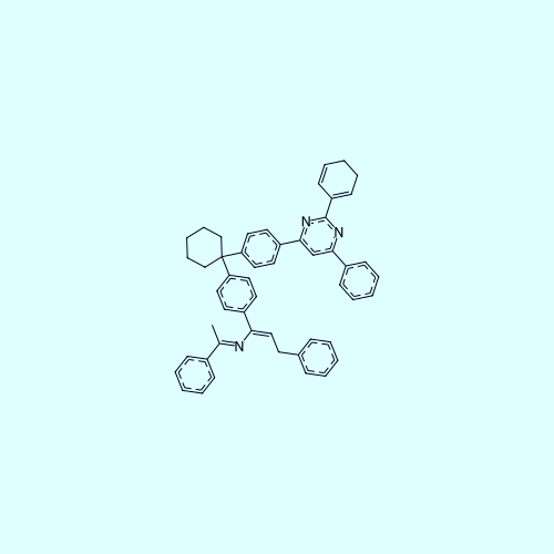 C/C(=N\C(=C/Cc1ccccc1)c1ccc(C2(c3ccc(-c4cc(-c5ccccc5)nc(C5=CCCC=C5)n4)cc3)CCCCC2)cc1)c1ccccc1